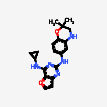 CC1(C)CNc2cc(Nc3nc(NC4CC4)c4occc4n3)ccc2O1